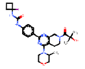 CC1COCCN1c1nc(-c2ccc(NC(=O)NC3(I)CCC3)cc2)nc2c1CCN(C(=O)C(C)(C)O)C2